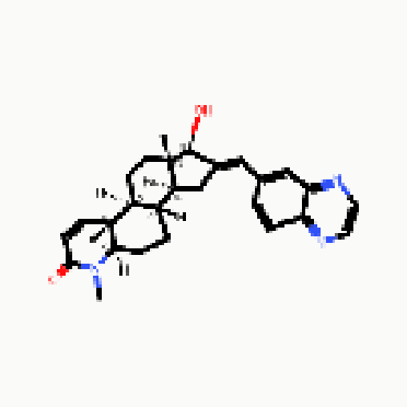 CN1C(=O)C=C[C@]2(C)[C@H]3CC[C@]4(C)[C@@H](O)C(=Cc5ccc6nccnc6c5)C[C@H]4[C@@H]3CC[C@@H]12